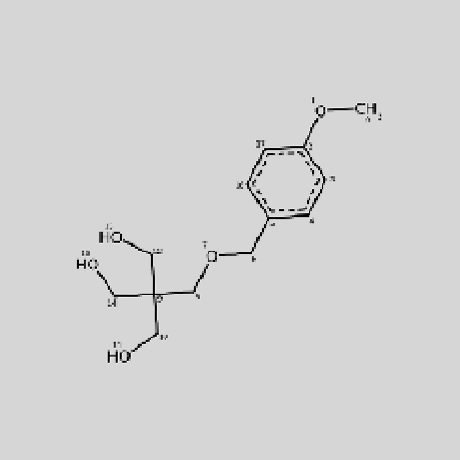 COc1ccc(COCC(CO)(CO)CO)cc1